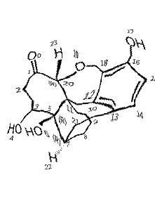 O=C1CC(O)[C@@]2(O)[C@@H]3CCCC24c2c(ccc(O)c2O[C@@H]14)C3